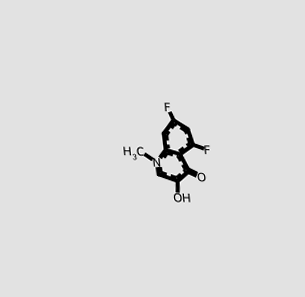 Cn1cc(O)c(=O)c2c(F)cc(F)cc21